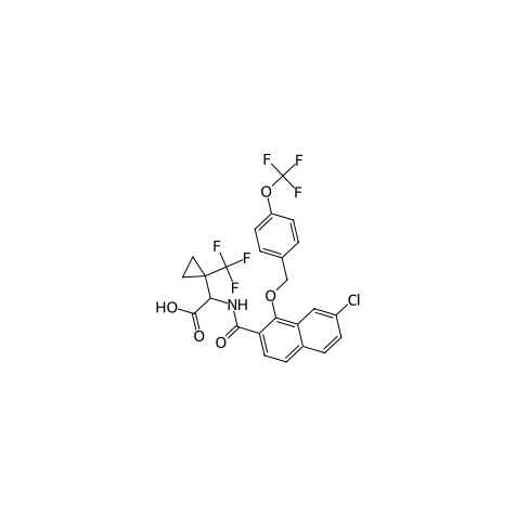 O=C(NC(C(=O)O)C1(C(F)(F)F)CC1)c1ccc2ccc(Cl)cc2c1OCc1ccc(OC(F)(F)F)cc1